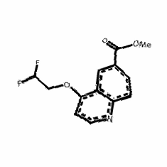 COC(=O)c1ccc2nccc(OCC(F)F)c2c1